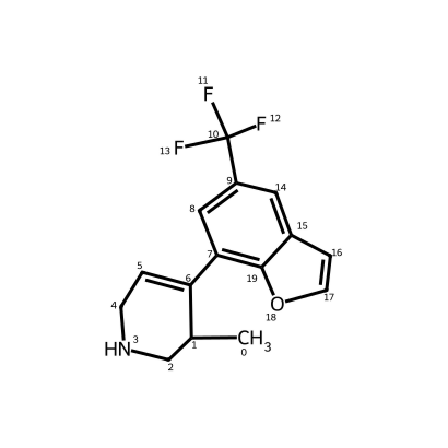 CC1CNCC=C1c1cc(C(F)(F)F)cc2ccoc12